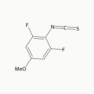 COc1cc(F)c(N=C=S)c(F)c1